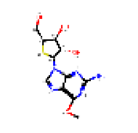 COc1nc(N)nc2c1ncn2[C@H]1S[C@@H](CO)[C@@H](O)[C@@H]1O